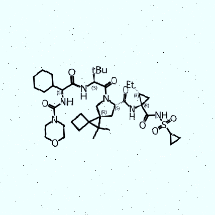 CC[C@@H]1C[C@]1(NC(=O)[C@@H]1C[C@@]2(CN1C(=O)[C@@H](NC(=O)[C@@H](NC(=O)N1CCOCC1)C1CCCCC1)C(C)(C)C)C(C)(C)C21CCC1)C(=O)NS(=O)(=O)C1CC1